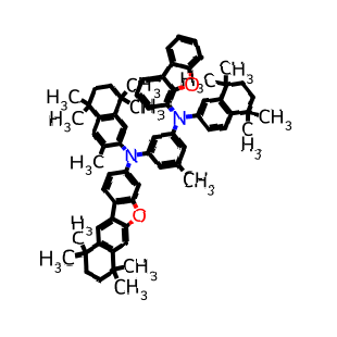 Cc1cc(N(c2ccc3c(c2)oc2cc4c(cc23)C(C)(C)CCC4(C)C)c2cc3c(cc2C)C(C)(C)CCC3(C)C)cc(N(c2ccc3c(c2)C(C)(C)CCC3(C)C)c2cccc3c2oc2ccccc23)c1